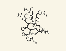 CCO[Si](OCC)(OCC)C(CC)C(=O)C1CC(O)CN1C(C)=O